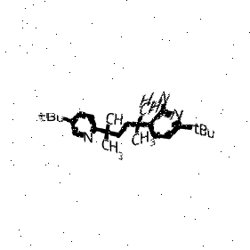 CC(C)(C)c1ccc(C(C)(C)CCC(C)(C)c2ccc(C(C)(C)C)nc2N)nc1